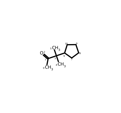 CC(=O)C(C)(C)C1CCCC1